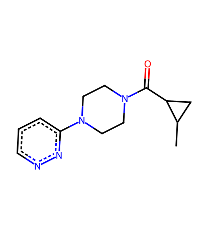 CC1CC1C(=O)N1CCN(c2cccnn2)CC1